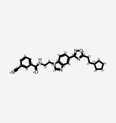 N#Cc1cccc(C(=O)NCCn2cnc3cc(-c4noc(CCC5CCCC5)n4)ccc32)c1